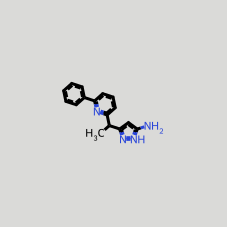 CC(c1cc(N)[nH]n1)c1cccc(-c2ccccc2)n1